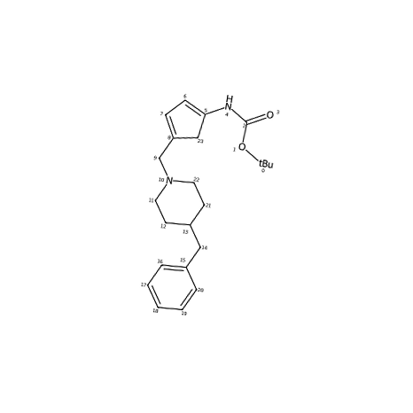 CC(C)(C)OC(=O)NC1=CC=C(CN2CCC(Cc3ccccc3)CC2)C1